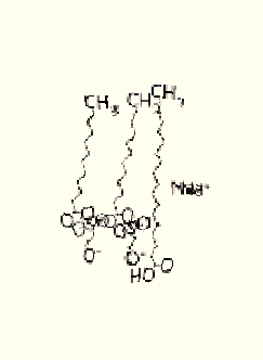 CCCCCCCCCCCC(=O)OS(=O)(=O)CC[O-].CCCCCCCCCCCC(=O)OS(=O)(=O)CC[O-].CCCCCCCCCCCCCCCCCC(=O)O.[Na+].[Na+]